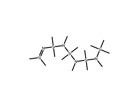 CN([Si](C)(C)C)[Si](C)(C)N(C)[Si](C)(C)N(C)[Si](C)(C)N=[Si](C)C